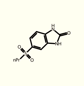 CCCS(=O)(=O)c1ccc2[nH]c(=O)[nH]c2c1